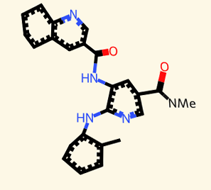 CNC(=O)c1cnc(Nc2ccccc2C)c(NC(=O)c2cnc3ccccc3c2)c1